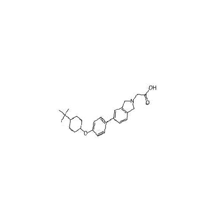 CC(C)(C)C1CCC(Oc2ccc(-c3ccc4c(c3)CN(CC(=O)O)C4)cc2)CC1